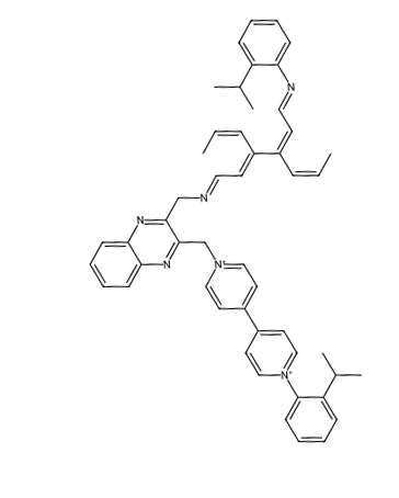 C\C=C/C(=C/C=N/c1ccccc1C(C)C)C(/C=C\C)=C/C=N/Cc1nc2ccccc2nc1C[n+]1ccc(-c2cc[n+](-c3ccccc3C(C)C)cc2)cc1